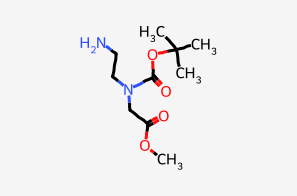 COC(=O)CN(CCN)C(=O)OC(C)(C)C